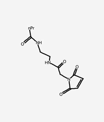 CCCC(=O)NCCNC(=O)CN1C(=O)C=CC1=O